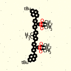 C=C(C)C(=O)OCC1(COC(=O)C(=C)C)c2cc(-c3ccc4c(c3)C(C)(C(F)(F)F)c3cc(-c5ccc6c(c5)C(COC(=O)C(=C)C)(COC(=O)C(=C)C)c5cc(-c7ccc8ccc9cc(C(C)(C)C)cc%10ccc7c8c9%10)ccc5-6)ccc3-4)ccc2-c2ccc(-c3ccc4ccc5c6c4c3C=CC6C=C(C(C)(C)C)C5)cc21